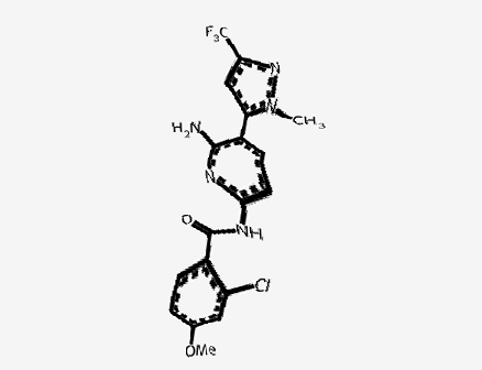 COc1ccc(C(=O)Nc2ccc(-c3cc(C(F)(F)F)nn3C)c(N)n2)c(Cl)c1